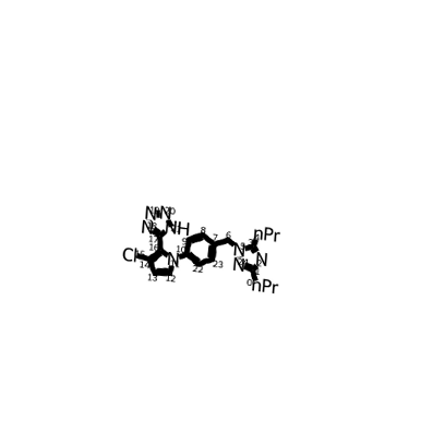 CCCc1nc(CCC)n(Cc2ccc(-n3ccc(Cl)c3-c3nnn[nH]3)cc2)n1